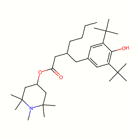 CCCCC(CC(=O)OC1CC(C)(C)N(C)C(C)(C)C1)Cc1cc(C(C)(C)C)c(O)c(C(C)(C)C)c1